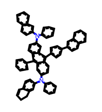 C1=Cc2ccc(N(c3ccccc3)c3ccc4c(-c5ccc(-c6ccc7ccccc7c6)cc5)c5cc(N(c6ccccc6)c6ccc7ccccc7c6)ccc5c(-c5ccccc5)c4c3)cc2CC1